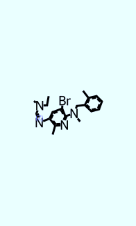 CCN(C)/C=N\c1cc(Br)c(N(C)Cc2ccccc2C)nc1C